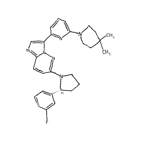 CC1(C)CCN(c2cccc(-c3cnc4ccc(N5CCC[C@@H]5c5cccc(F)c5)nn34)n2)CC1